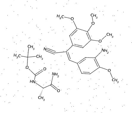 COc1ccc(/C=C(/C#N)c2cc(OC)c(OC)c(OC)c2)cc1N.C[C@H](NC(=O)OC(C)(C)C)C(N)=O